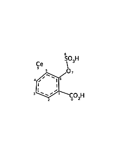 O=C(O)c1ccccc1OS(=O)(=O)O.[Ce]